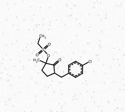 CCS(=O)(=O)OC1(C)CCC(Cc2ccc(Cl)cc2)C1=O